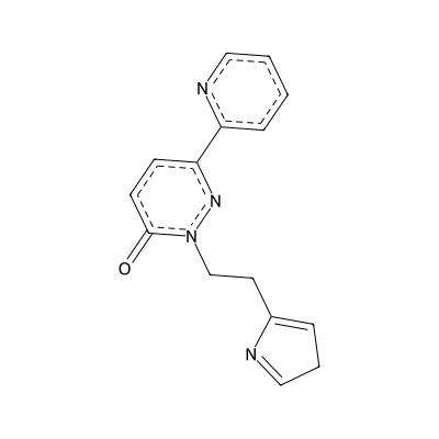 O=c1ccc(-c2ccccn2)nn1CCC1=CCC=N1